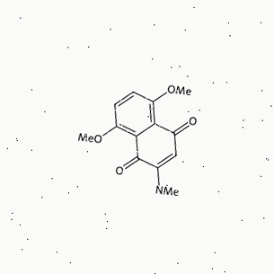 CNC1=CC(=O)c2c(OC)ccc(OC)c2C1=O